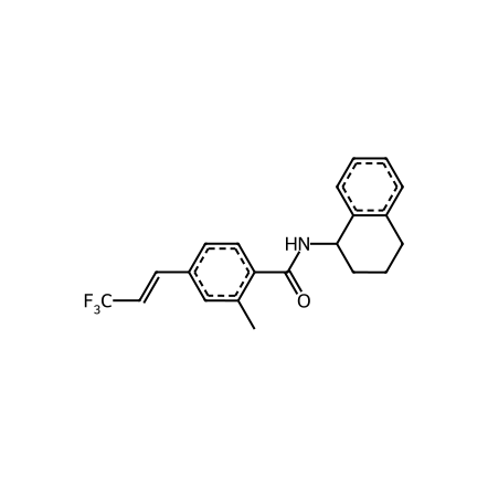 Cc1cc(/C=C/C(F)(F)F)ccc1C(=O)NC1CCCc2ccccc21